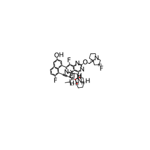 CC(C)[Si](C#Cc1c(F)ccc2cc(O)cc(-c3nc(Cl)c4c(N5C[C@H]6CC[C@@H](C5)N6)nc(OC[C@@]56CCCN5C[C@H](F)C6)nc4c3F)c12)(C(C)C)C(C)C